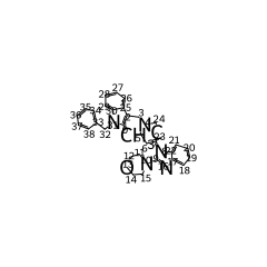 Cc1c(CN2CCC(n3c(N4CCOCC4)nc4ccccc43)CC2)c2ccccc2n1Cc1ccccc1